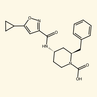 O=C(N[C@H]1CCN(C(=O)O)[C@H](Cc2ccccc2)C1)c1cc(C2CC2)on1